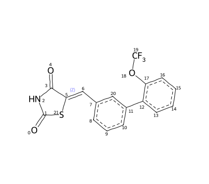 O=C1NC(=O)/C(=C/c2cccc(-c3ccccc3OC(F)(F)F)c2)S1